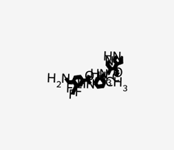 COc1c(CNc2cc(NC(=O)c3ccc(CN)c(C(F)(F)F)c3)ccc2C)cnc2[nH]ccc12